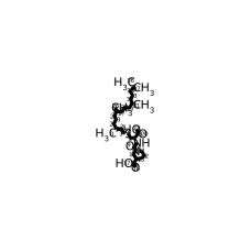 C/C(=C\CSCC(NC(=O)N1CCCC(C(=O)O)C1)C(=O)O)CCCC(C)CCCC(C)CCCC(C)C